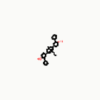 CCCC12CC3(C)CC(c4ccc(O)c(-c5ccccc5)c4)(C1)CC(c1ccc(O)c(-c4ccccc4)c1)(C3)C2